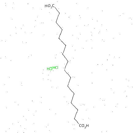 Cl.Cl.O=C(O)CCCCCCCCCCCCCCC(=O)O